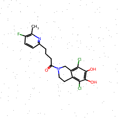 Cc1nc(CCCC(=O)N2CCc3c(Cl)c(O)c(O)c(Cl)c3C2)ccc1F